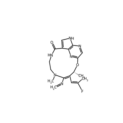 C=N/C1=C(\C=C(/C)F)[C@@H](C)Oc2cnc3[nH]cc(c3n2)C(=O)NCCN1C